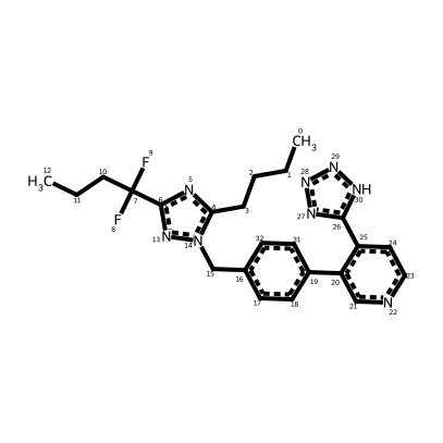 CCCCc1nc(C(F)(F)CCC)nn1Cc1ccc(-c2cnccc2-c2nnn[nH]2)cc1